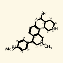 CCCC(Oc1ccc2c(c1)CN(C)CC2c1ccc(SC)cc1)C1CCNCC1